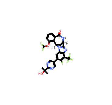 CC(C)(O)c1ncc(-c2cc3c(nc4n3[C@@H]3C[C@H]4NC(=O)c4cccc(OC(F)F)c43)c(C(F)(F)F)c2F)cn1